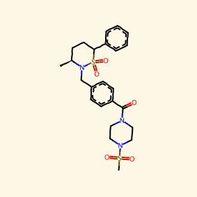 C[C@H]1CCC(c2ccccc2)S(=O)(=O)N1Cc1ccc(C(=O)N2CCN(S(C)(=O)=O)CC2)cc1